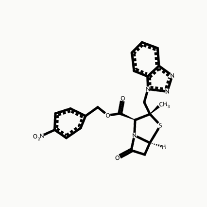 C[C@@]1(Cn2nnc3ccccc32)S[C@H]2CC(=O)N2[C@H]1C(=O)OCc1ccc([N+](=O)[O-])cc1